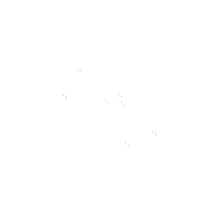 c1ccc(-n2c(-c3ccc4c5ccccc5n(-c5cccnc5)c4c3)nnc2-c2ccc3c4ccccc4n(-c4cccnc4)c3c2)cc1